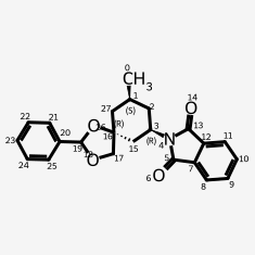 C[C@H]1C[C@@H](N2C(=O)c3ccccc3C2=O)C[C@@]2(COC(c3ccccc3)O2)C1